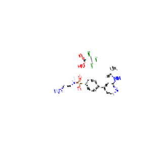 CC(C)(C)c1cc2c(-c3ccc(S(=O)(=O)NCCN)cc3)ccnc2[nH]1.O=C(O)C(F)(F)F